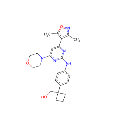 Cc1noc(C)c1-c1cc(N2CCOCC2)nc(Nc2ccc(C3(CO)CCC3)cc2)n1